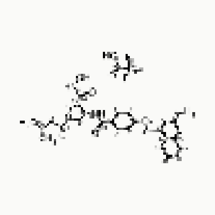 Cc1cc(COc2ccc(C(=O)N[C@@H]3CN(C(=O)CC(C)C)C[C@@H]3C(=O)NO)cc2)c2ccccc2n1.O=C(O)C(F)(F)F